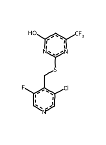 Oc1cc(C(F)(F)F)nc(SCc2c(F)cncc2Cl)n1